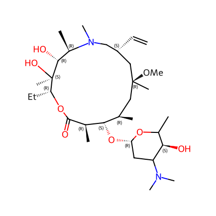 C=C[C@H]1CN(C)[C@H](C)[C@@H](O)[C@](C)(O)[C@@H](CC)OC(=O)[C@H](C)[C@@H](O[C@H]2CC(N(C)C)[C@H](O)C(C)O2)[C@H](C)C[C@](C)(OC)C1